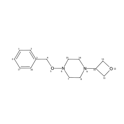 c1ccc(CON2CCN(C3COC3)CC2)cc1